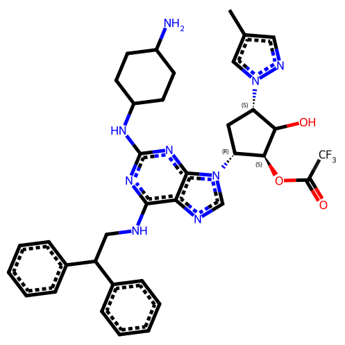 Cc1cnn([C@H]2C[C@@H](n3cnc4c(NCC(c5ccccc5)c5ccccc5)nc(NC5CCC(N)CC5)nc43)[C@H](OC(=O)C(F)(F)F)C2O)c1